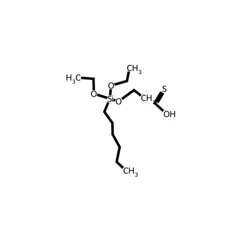 CCCCCC[Si](OCC)(OCC)OCC.OC=S